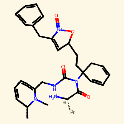 CC(C)[C@H](N)C(=O)N(C(=O)NCC1=CC=CC(C)N1C)C1(CCC2C=C(Cc3ccccc3)[N+](=O)O2)C=CC=CC1